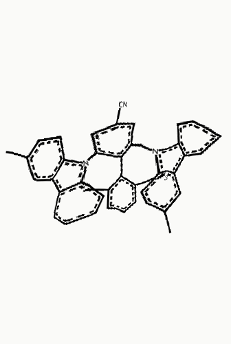 Cc1ccc2c(c1)c1ccccc1n2-c1cc(C#N)cc(-n2c3ccccc3c3cc(C)ccc32)c1-c1c(C)cccc1C(F)(F)F